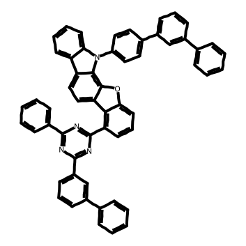 c1ccc(-c2cccc(-c3ccc(-n4c5ccccc5c5ccc6c(oc7cccc(-c8nc(-c9ccccc9)nc(-c9cccc(-c%10ccccc%10)c9)n8)c76)c54)cc3)c2)cc1